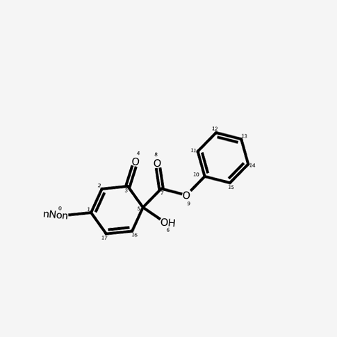 CCCCCCCCCC1=CC(=O)C(O)(C(=O)Oc2ccccc2)C=C1